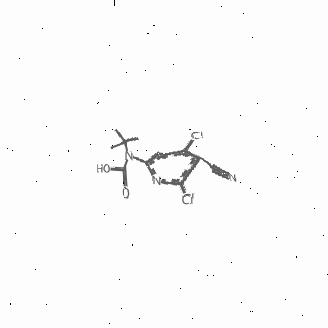 CC(C)(C)N(C(=O)O)c1cc(Cl)c(C#N)c(Cl)n1